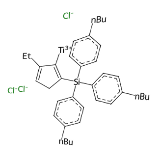 CCCCc1ccc([Si](C2=[C]([Ti+3])C(CC)=CC2)(c2ccc(CCCC)cc2)c2ccc(CCCC)cc2)cc1.[Cl-].[Cl-].[Cl-]